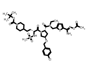 CCN(Cc1ccc(/C(N)=N/OC(C)=O)s1)C(=O)[C@@H]1C[C@@H](OCc2ccc(Cl)cc2)CN1C(=O)[C@@H](CCC1CCN(C(=O)OC(C)(C)C)CC1)NS(C)(=O)=O